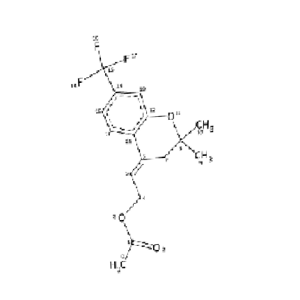 CC(=O)OCC=C1CC(C)(C)Oc2cc(C(F)(F)F)ccc21